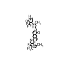 CC(CCCn1ccc2cc(-c3ncc(C(F)(F)F)c(N4[C@H](C)C[C@@H]4C)n3)c(F)cc2c1=O)Nc1cn[nH]c(=O)c1C(F)(F)F